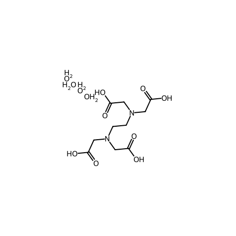 O.O.O.O.O=C(O)CN(CCN(CC(=O)O)CC(=O)O)CC(=O)O